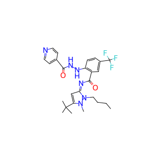 CCCCn1c(=NC(=O)c2cc(C(F)(F)F)ccc2NNC(=O)c2ccncc2)cc(C(C)(C)C)n1C